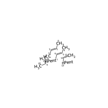 C/C=C/C.C/C=C/CCCCC.C=CC.C=CCCCCC